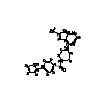 CCc1cc2c(N3CCN(C(=O)c4ccc(-c5cccs5)cc4)CC3)ncnc2s1